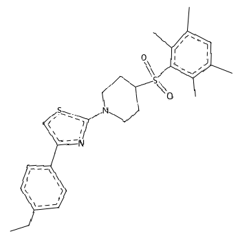 CCc1ccc(-c2csc(N3CCC(S(=O)(=O)c4c(C)c(C)cc(C)c4C)CC3)n2)cc1